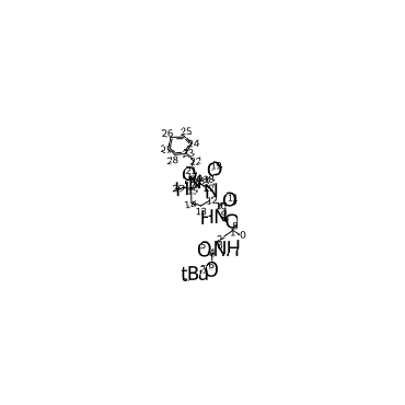 C[C@@H](CNC(=O)OC(C)(C)C)ONC(=O)[C@@H]1CC[C@@H]2CN1C(=O)N2OCc1ccccc1